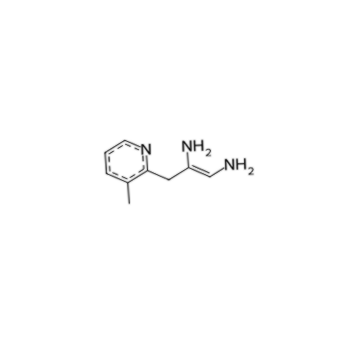 Cc1cccnc1CC(N)=CN